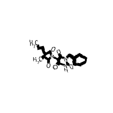 C=C/C=C1\C(=C)C(=O)N(C2C(=O)NC(=O)N(Cc3ccccc3)C2=O)C1=O